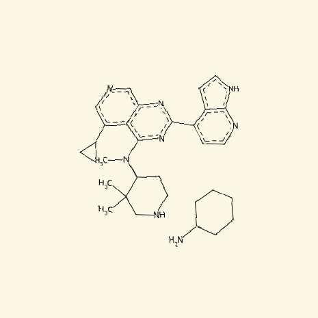 CN(c1nc(-c2ccnc3[nH]ccc23)nc2cncc(C3CC3)c12)C1CCNCC1(C)C.NC1CCCCC1